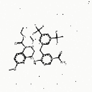 CCOC(=O)N1c2ccc(OC)nc2[C@@H](Nc2ncc(C(N)=O)cc2Cc2cc(C(F)(F)F)cc(C(F)(F)F)c2)C[C@H]1CC